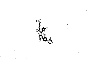 CNCCCCCC(=O)N(C[C@H]1CN(c2ccc(N3CCOCC3=O)cc2F)C(=O)O1)C(=O)c1ccc(Cl)s1